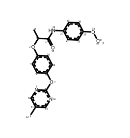 CC(Oc1ccc(Oc2ncc(I)cn2)cc1)C(=O)Nc1ccc(OC(F)(F)F)cc1